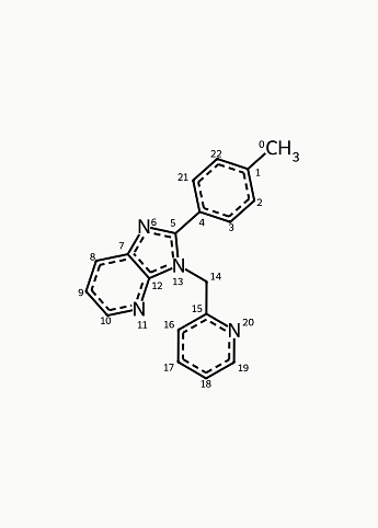 Cc1ccc(-c2nc3cccnc3n2Cc2ccccn2)cc1